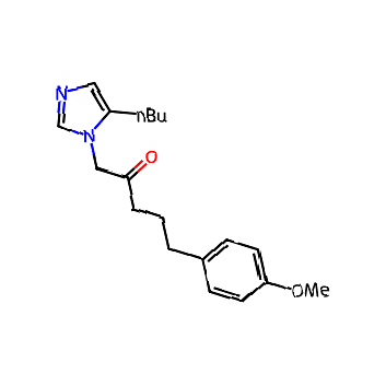 CCCCc1cncn1CC(=O)CCCc1ccc(OC)cc1